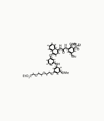 CCOC(=O)COCCOCCOc1cc(Nc2cc(Oc3ccc(NC(=O)Nc4cc(C(C)(C)C)cc(S(=O)(=O)CC)c4OC)c4ccccc34)ccn2)cc(OC)c1